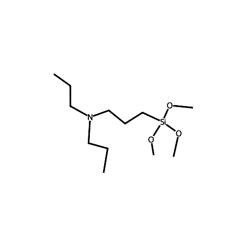 CCCN(CCC)CCC[Si](OC)(OC)OC